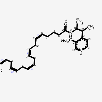 CC/C=C\C/C=C\C/C=C\C/C=C\C/C=C\CCCC(=O)NC(C)C(C)c1ccncc1C(=O)O